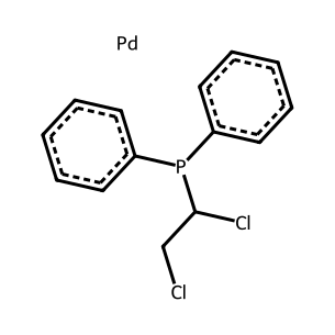 ClCC(Cl)P(c1ccccc1)c1ccccc1.[Pd]